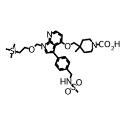 CC1(COc2ccnc3c2c(-c2ccc(CNS(C)(=O)=O)cc2)cn3COCC[Si](C)(C)C)CCN(C(=O)O)CC1